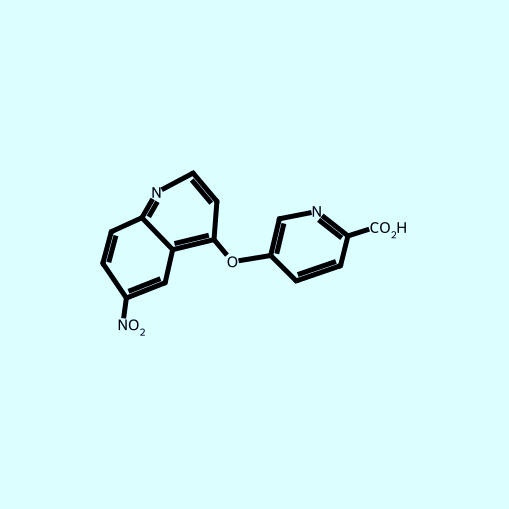 O=C(O)c1ccc(Oc2ccnc3ccc([N+](=O)[O-])cc23)cn1